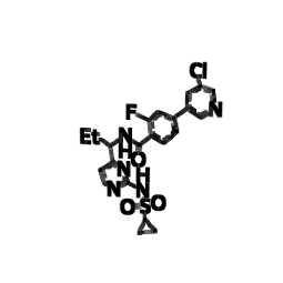 CCC(NC(=O)c1ccc(-c2cncc(Cl)c2)cc1F)c1ccnc(NS(=O)(=O)C2CC2)n1